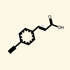 C#Cc1ccc(/C=C/C(=O)O)cc1